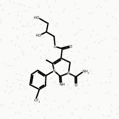 CC1=C(C(=O)OCC(O)CO)CN(C(N)=O)C(=N)N1c1cccc(C(F)(F)F)c1